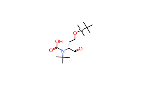 CC(C)(C)N(C(=O)O)[C@@H](C=O)CCO[Si](C)(C)C(C)(C)C